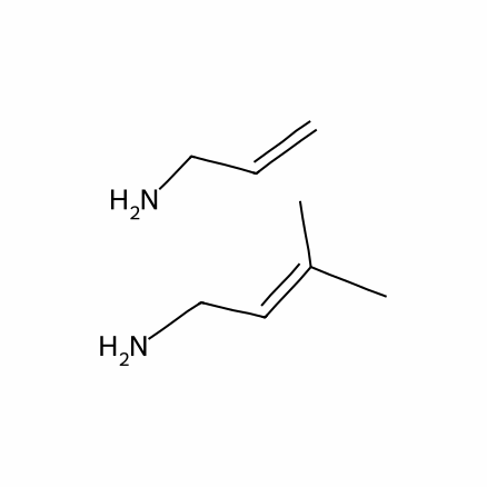 C=CCN.CC(C)=CCN